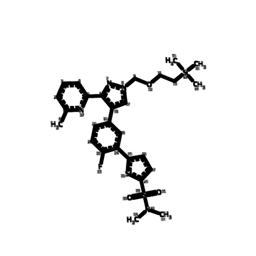 Cc1cccc(-c2nn(COCC[Si](C)(C)C)cc2-c2ccc(F)c(-c3ccc(S(=O)(=O)N(C)C)s3)c2)n1